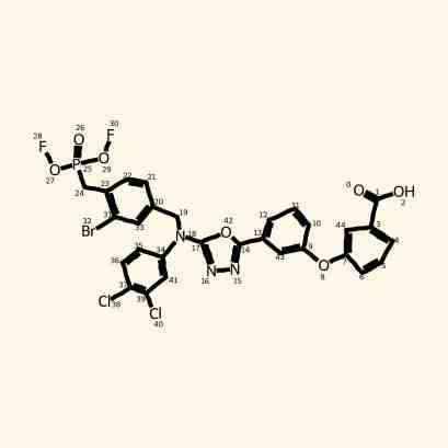 O=C(O)c1cccc(Oc2cccc(-c3nnc(N(Cc4ccc(CP(=O)(OF)OF)c(Br)c4)c4ccc(Cl)c(Cl)c4)o3)c2)c1